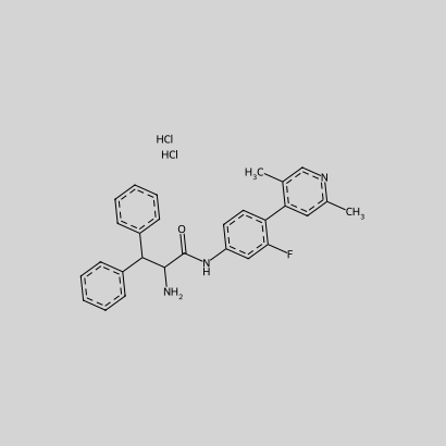 Cc1cc(-c2ccc(NC(=O)C(N)C(c3ccccc3)c3ccccc3)cc2F)c(C)cn1.Cl.Cl